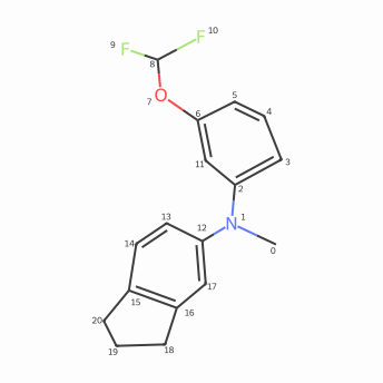 CN(c1cccc(OC(F)F)c1)c1ccc2c(c1)CCC2